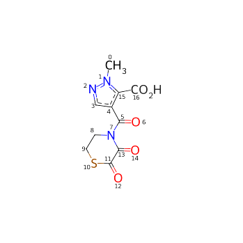 Cn1ncc(C(=O)N2CCSC(=O)C2=O)c1C(=O)O